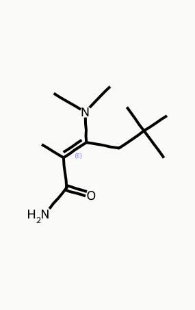 C/C(C(N)=O)=C(/CC(C)(C)C)N(C)C